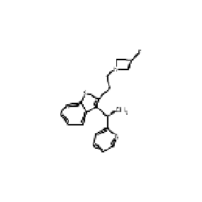 C[C@@H](c1ccccn1)c1c(CCN2CC(F)C2)sc2ccccc12